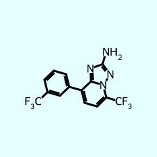 Nc1nc2c(-c3cccc(C(F)(F)F)c3)ccc(C(F)(F)F)n2n1